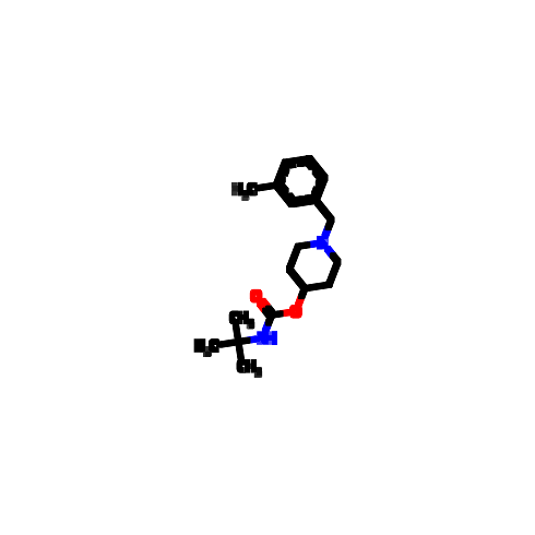 Cc1cccc(CN2CCC(OC(=O)NC(C)(C)C)CC2)c1